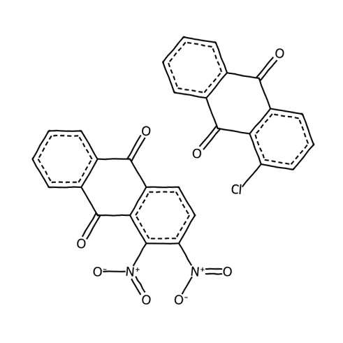 O=C1c2ccccc2C(=O)c2c(Cl)cccc21.O=C1c2ccccc2C(=O)c2c1ccc([N+](=O)[O-])c2[N+](=O)[O-]